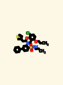 CCCNS(=O)(=O)c1ccc(-c2ccccc2)cc1N(Cc1cc(Cl)ccc1OCCC)C(=O)Cc1ccsc1